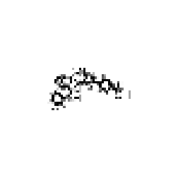 O=C(O)c1ccc(-c2cc3ncnc(NC(Cc4ccccc4)C4=COCO4)c3s2)cc1